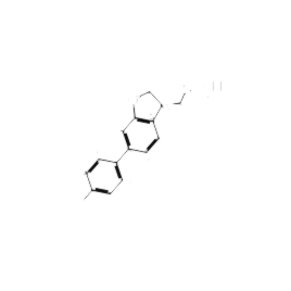 CCc1ccc(-c2ccc3c(c2)OC[C@H]3CC(=O)O)cc1